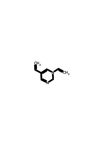 C=CC1=CN(C=C)CN=C1